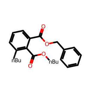 CCCCOC(=O)c1c(CCCC)cccc1C(=O)OCc1ccccc1